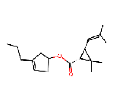 CCCC1=CCC(OC(=O)[C@@H]2[C@@H](C=C(C)C)C2(C)C)C1